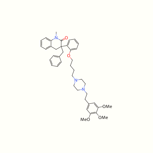 COc1cc(CCN2CCN(CCCCOc3ccccc3C3(Cc4ccccc4)Cc4ccccc4N(C)C3=O)CC2)cc(OC)c1OC